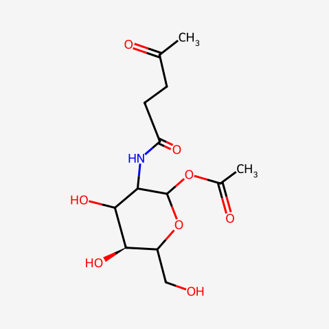 CC(=O)CCC(=O)NC1C(OC(C)=O)OC(CO)[C@@H](O)C1O